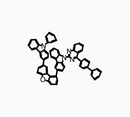 c1ccc(-c2ccc(-c3nc(-n4c5ccccc5c5cc(-c6cccc7oc8ccc(-c9ccc%10c(c9)c9ccccc9n%10-c9ccccc9)cc8c67)ccc54)nc4ccccc34)cc2)cc1